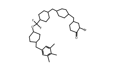 Cc1cc(CC2CCC(OC(F)(F)C3CCC(CC4CCC(CC5CCC(=O)C(Br)C5)CC4)CC3)CC2)cc(C)c1C